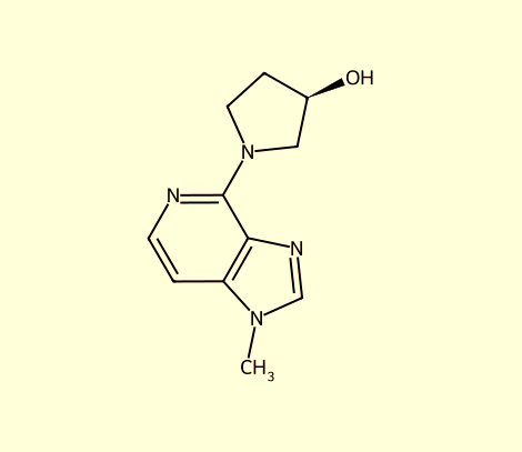 Cn1cnc2c(N3CC[C@@H](O)C3)nccc21